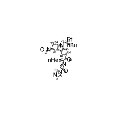 CCCCCC/C(=N\OC(=O)n1ccnc1)C(=O)c1ccc2c(c1)c1cc([N+](=O)[O-])ccc1n2CC(CC)CCCC